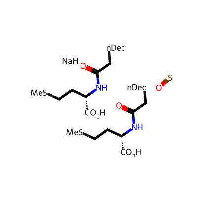 CCCCCCCCCCCC(=O)N[C@@H](CCSC)C(=O)O.CCCCCCCCCCCC(=O)N[C@@H](CCSC)C(=O)O.O=S.[NaH]